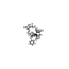 CC1=C(C)[C@H]2[C@H](Cc3ccccc3)NC(=O)[C@]23OC(=O)O/C=C/[C@@](C)(O)C(=O)[C@@H](C)C/C=C/[C@H]3[C@@H]1O